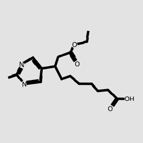 CCOC(=O)CC(CCCCCCC(=O)O)c1cnc(C)nc1